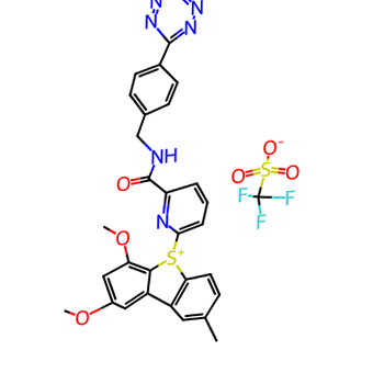 COc1cc(OC)c2c(c1)c1cc(C)ccc1[s+]2-c1cccc(C(=O)NCc2ccc(-c3nncnn3)cc2)n1.O=S(=O)([O-])C(F)(F)F